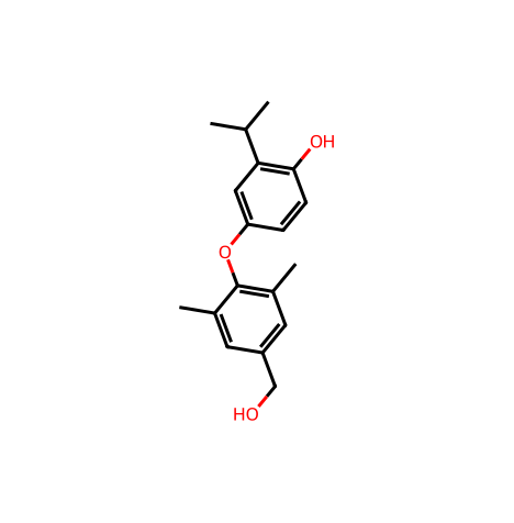 Cc1cc(CO)cc(C)c1Oc1ccc(O)c(C(C)C)c1